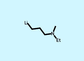 [Li][CH2]CCN(C)CC